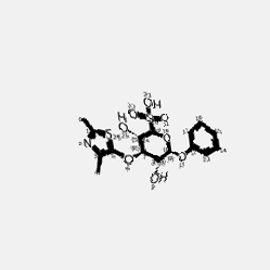 Cc1nc(C)c(O[C@@H]2[C@@H](O)[C@H](Oc3ccccc3)OC(S(=O)(=O)O)[C@H]2O)s1